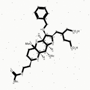 COC12CC[C@H](CCOC(=O)C(C)(C)C)O[C@@H]1[C@@H](OC(C)=O)[C@@H]1O[C@H](CC(CCC(=O)O)CC(=O)O)[C@H](OCc3ccccc3)[C@@H]1O2